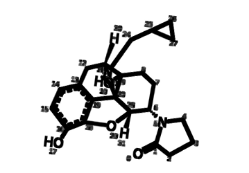 O=C1CCCN1[C@H]1CCC2(O)[C@H]3Cc4ccc(O)c5c4[C@@]2(CCN3CC2CC2)[C@H]1O5